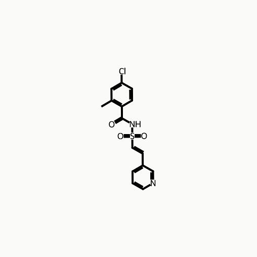 Cc1cc(Cl)ccc1C(=O)NS(=O)(=O)/C=C/c1cccnc1